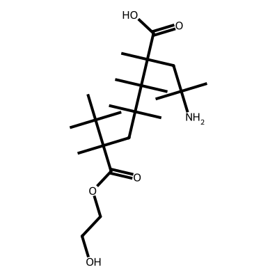 CC(C)(N)CC(C)(C(=O)O)C(C)(C)C(C)(C)CC(C)(C(=O)OCCO)C(C)(C)C